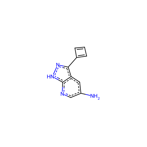 Nc1cnc2[nH]nc(C3=CC=C3)c2c1